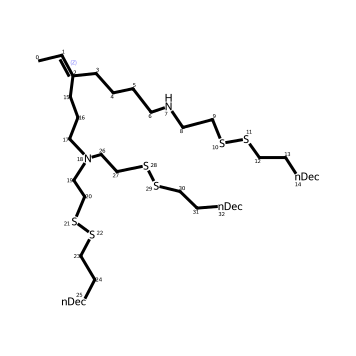 C/C=C(/CCCCNCCSSCCCCCCCCCCCC)CCCN(CCSSCCCCCCCCCCCC)CCSSCCCCCCCCCCCC